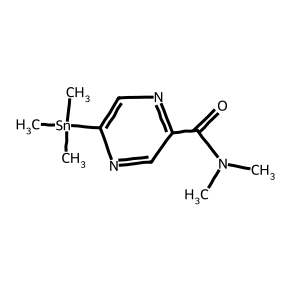 CN(C)C(=O)c1cn[c]([Sn]([CH3])([CH3])[CH3])cn1